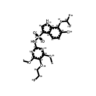 COc1nc(NS(=O)(=O)c2c[nH]c3c(SC(F)F)c(Cl)ccc23)nc(OC)c1OCCF